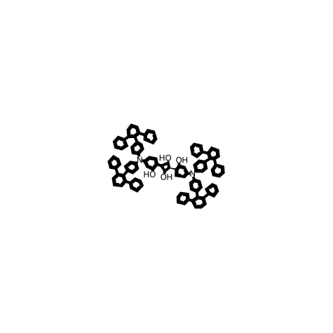 Oc1cc(N(c2ccc(-c3c(-c4ccccc4)cccc3-c3ccccc3)cc2)c2ccc(-c3c(-c4ccccc4)cccc3-c3ccccc3)cc2)ccc1C1C(O)[C@H](c2ccc(N(c3ccc(-c4c(-c5ccccc5)cccc4-c4ccccc4)cc3)c3ccc(-c4c(-c5ccccc5)cccc4-c4ccccc4)cc3)cc2O)[C@@H]1O